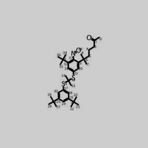 CC(=O)CCCC(C)(C)c1cc(SC(C)(C)Sc2cc(C(C)(C)C)cc(C(C)(C)C)c2)cc(C(C)(C)C)c1N=O